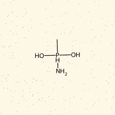 C[PH](N)(O)O